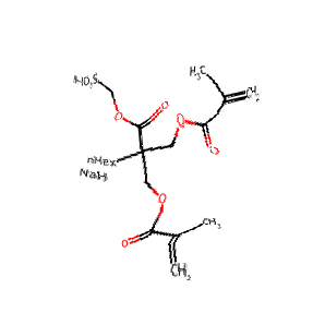 C=C(C)C(=O)OCC(CCCCCC)(COC(=O)C(=C)C)C(=O)OCS(=O)(=O)O.[NaH]